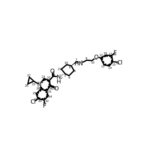 O=C(N[C@H]1CC[C@H](CNCCOc2ccc(Cl)c(F)c2)CC1)c1cn(C2CC2)c2cc(Cl)c(F)cc2c1=O